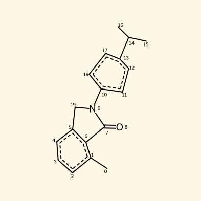 Cc1cccc2c1C(=O)N(c1ccc(C(C)C)cc1)C2